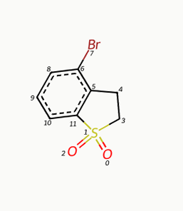 O=S1(=O)CCc2c(Br)cccc21